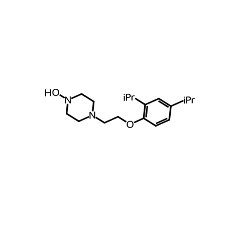 CC(C)c1ccc(OCCN2CCN(O)CC2)c(C(C)C)c1